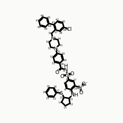 O=C(NS(=O)(=O)c1ccc(NC2CCCC2Sc2ccccc2)c([N+](=O)[O-])c1)c1ccc(N2CCN(Cc3cc(Cl)ccc3-c3ccccc3)CC2)cc1